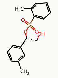 Cc1cccc([C@@H](CO)OS(=O)(=O)c2ccccc2C)c1